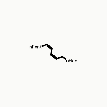 CCCCC/C=C\C=C/CCCCCCC